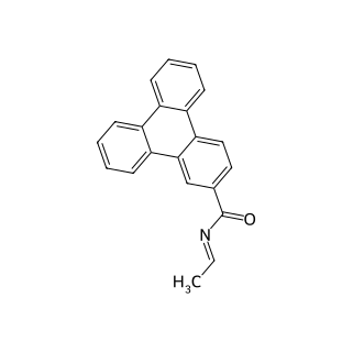 C/C=N/C(=O)c1ccc2c3ccccc3c3ccccc3c2c1